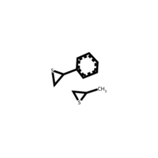 CC1CS1.c1ccc(C2CS2)cc1